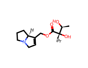 CC(C)[C@@](O)(C(=O)OCC1=CCN2CCC[C@@H]12)[C@H](C)O